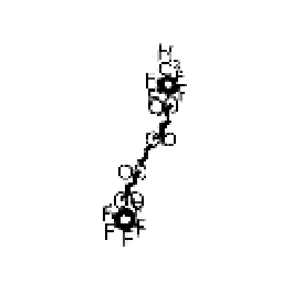 Cc1c(F)c(F)c(OC(=O)CCC(=O)OCCCCOC(=O)CCC(=O)Oc2c(F)c(F)c(F)c(F)c2F)c(F)c1F